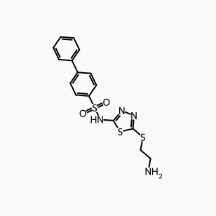 NCCSc1nnc(NS(=O)(=O)c2ccc(-c3ccccc3)cc2)s1